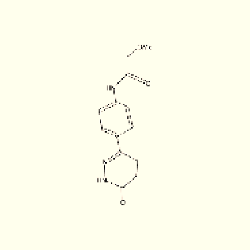 COCC(=O)Nc1ccc(C2=NNC(=O)CC2)cc1